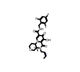 C/C=C\CN1C(=O)c2c(O)c(=O)c(C(=O)NCc3c(F)cc(F)cc3F)cn2C2CCOC[C@]21C